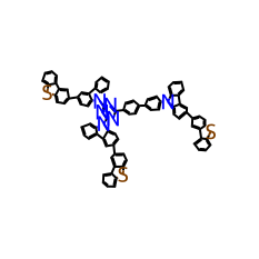 c1ccc2c(c1)sc1ccc(-c3ccc4c(c3)c3ccccc3n4-c3ccc(-c4ccc(-c5nc(-n6c7ccccc7c7cc(-c8ccc9sc%10ccccc%10c9c8)ccc76)nc(-n6c7ccccc7c7cc(-c8ccc9sc%10ccccc%10c9c8)ccc76)n5)cc4)cc3)cc12